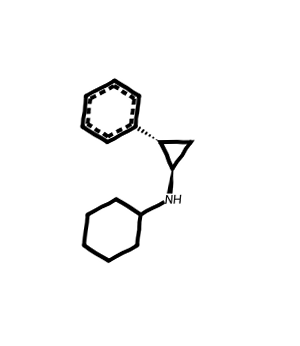 c1ccc([C@@H]2C[C@H]2NC2CCCCC2)cc1